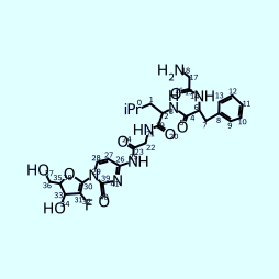 CC(C)CC(NC(=O)C(Cc1ccccc1)NC(=O)CN)C(=O)NCC(=O)Nc1ccn(C2=C(F)C(O)C(CO)O2)c(=O)n1